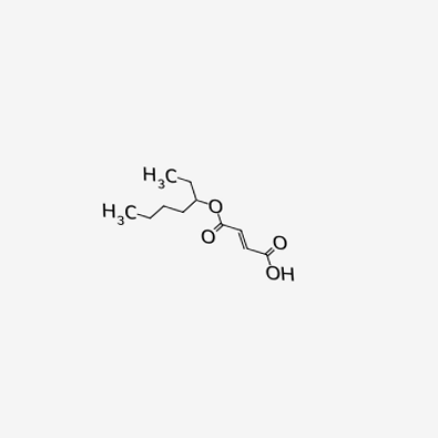 CCCCC(CC)OC(=O)/C=C/C(=O)O